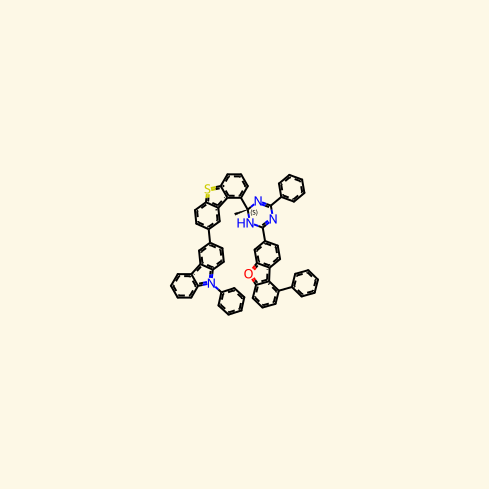 C[C@@]1(c2cccc3sc4ccc(-c5ccc6c(c5)c5ccccc5n6-c5ccccc5)cc4c23)N=C(c2ccccc2)N=C(c2ccc3c(c2)oc2cccc(-c4ccccc4)c23)N1